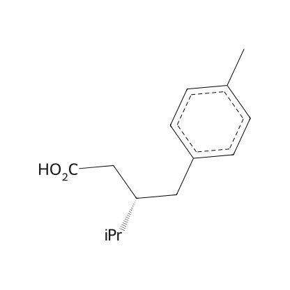 Cc1ccc(C[C@@H](CC(=O)O)C(C)C)cc1